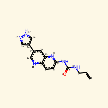 C=CCNC(=O)Nc1ccc2ncc(-c3cn[nH]c3)cc2n1